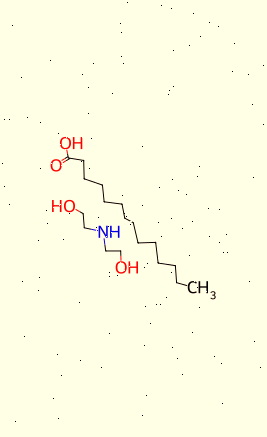 CCCCCCCCCCCCCC(=O)O.OCCNCCO